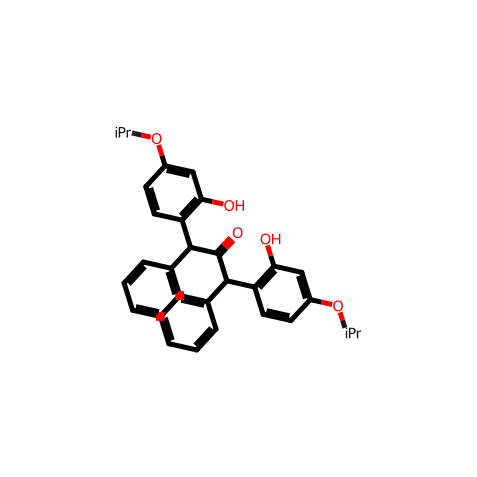 CC(C)Oc1ccc(C(C(=O)C(c2ccccc2)c2ccc(OC(C)C)cc2O)c2ccccc2)c(O)c1